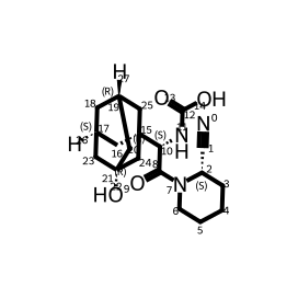 N#C[C@@H]1CCCCN1C(=O)[C@@H](NC(=O)O)[C@@]12C[C@@H]3C[C@@H](C[C@](O)(C3)C1)C2